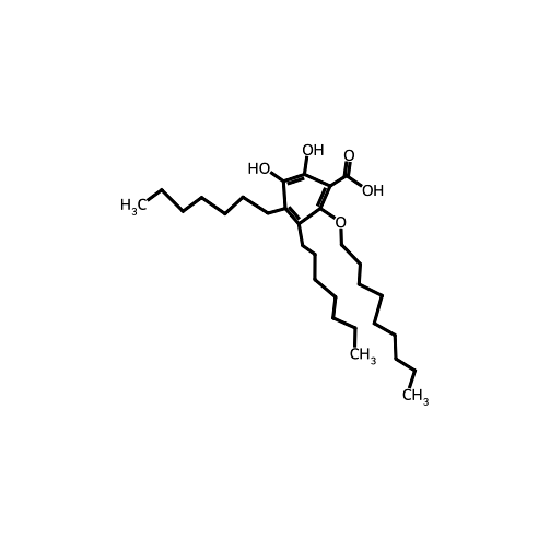 CCCCCCCCCOc1c(CCCCCCC)c(CCCCCCC)c(O)c(O)c1C(=O)O